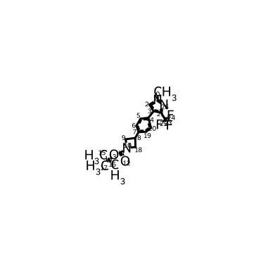 Cn1cc(-c2ccc(C3CN(C(=O)OC(C)(C)C)C3)cc2)c(C(F)(F)F)n1